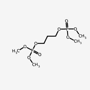 COP(=O)(OC)OCCCOP(=O)(OC)OC